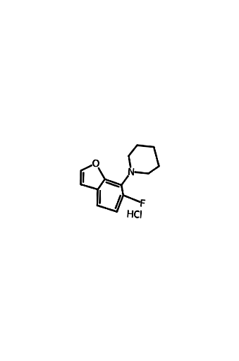 Cl.Fc1ccc2ccoc2c1N1CCCCC1